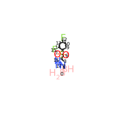 BBn1cc(S(=O)(=O)c2ccc(F)cc2F)nn1